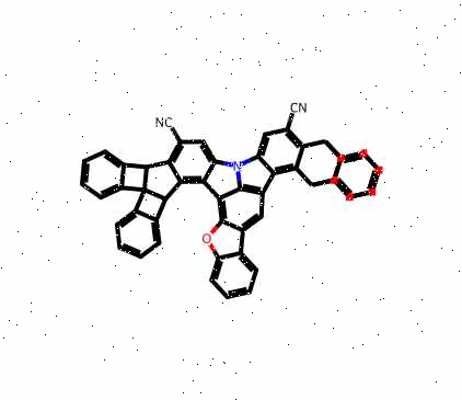 N#Cc1cc2c(c3c1C1c4ccccc4C3c3ccccc31)c1cc3c4ccccc4oc3c3c4c5c(c(C#N)cc4n2c13)C1c2ccccc2C12c1ccccc1C52